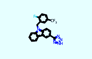 Fc1ccc(C(F)(F)F)cc1Cn1c2ccccc2c2cc(-c3nn[nH]n3)ccc21